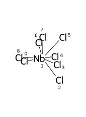 [Cl][Nb]([Cl])([Cl])([Cl])([Cl])([Cl])([Cl])[Cl]